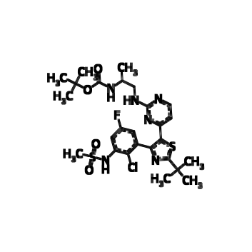 CC(CNc1nccc(-c2sc(C(C)(C)C)nc2-c2cc(F)cc(NS(C)(=O)=O)c2Cl)n1)NC(=O)OC(C)(C)C